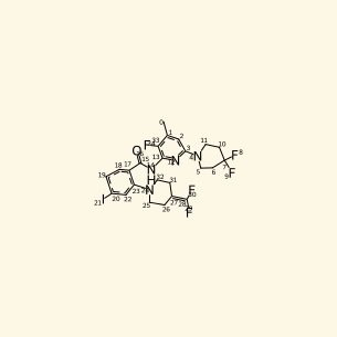 Cc1cc(N2CCC(F)(F)CC2)nc(NC(=O)c2ccc(I)cc2N2CCC(=C(F)F)CC2)c1F